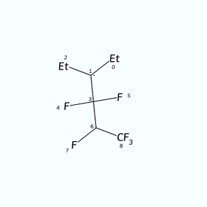 CC[C](CC)C(F)(F)C(F)C(F)(F)F